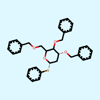 c1ccc(COCC2O[C@@H](Sc3ccccc3)C[C@@H](OCc3ccccc3)C2OCc2ccccc2)cc1